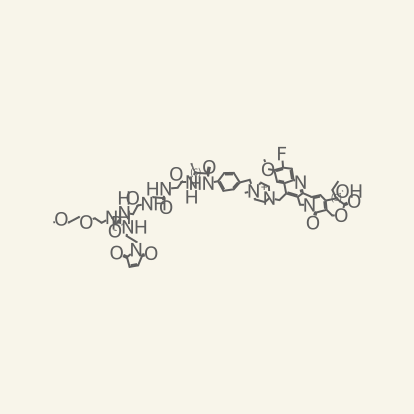 CC[C@@]1(O)C(=O)OCc2c1cc1n(c2=O)Cc2c-1nc1cc(F)c(OC)cc1c2CN1CC[N+](C)(Cc2ccc(NC(=O)[C@H](C)NC(=O)CNC(=O)CNC(=O)CNP(=O)(NCCOCCOC)NCCN3C(=O)C=CC3=O)cc2)CC1